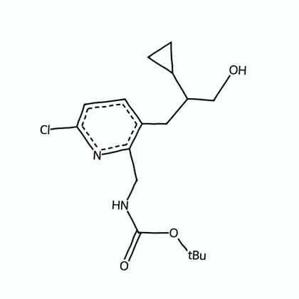 CC(C)(C)OC(=O)NCc1nc(Cl)ccc1CC(CO)C1CC1